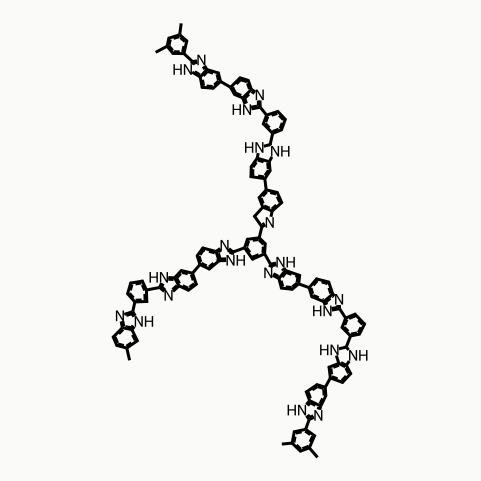 Cc1cc(C)cc(-c2nc3cc(-c4ccc5c(c4)NC(c4cccc(-c6nc7ccc(-c8ccc9nc(-c%10cc(C%11=Nc%12ccc(-c%13ccc%14c(c%13)NC(c%13cccc(-c%15nc%16ccc(-c%17ccc%18[nH]c(-c%19cc(C)cc(C)c%19)nc%18c%17)cc%16[nH]%15)c%13)N%14)cc%12C%11)cc(-c%11nc%12ccc(-c%13ccc%14nc(-c%15cccc(-c%16nc%17ccc(C)cc%17[nH]%16)c%15)[nH]c%14c%13)cc%12[nH]%11)c%10)[nH]c9c8)cc7[nH]6)c4)N5)ccc3[nH]2)c1